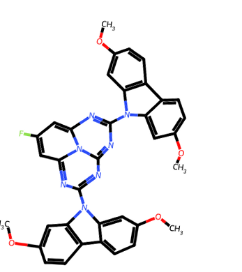 COc1ccc2c3ccc(OC)cc3n(C3=NC4=CC(F)=CC5=NC(n6c7cc(OC)ccc7c7ccc(OC)cc76)=NC(=N3)N45)c2c1